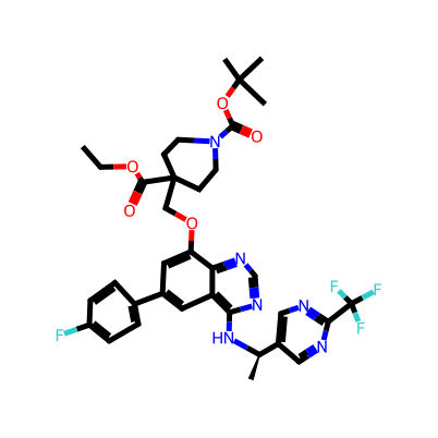 CCOC(=O)C1(COc2cc(-c3ccc(F)cc3)cc3c(N[C@H](C)c4cnc(C(F)(F)F)nc4)ncnc23)CCN(C(=O)OC(C)(C)C)CC1